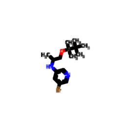 CC(CO[Si](C)(C)C(C)(C)C)Nc1cncc(Br)c1